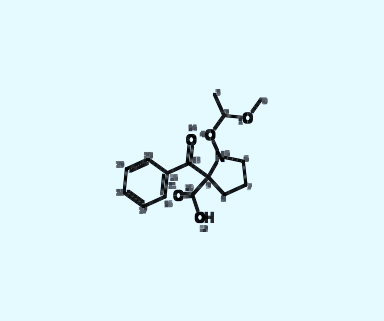 COC(C)ON1CCCC1(C(=O)O)C(=O)c1ccccc1